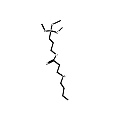 CCCCNCCC(=O)OCCC[Si](OC)(OC)OC